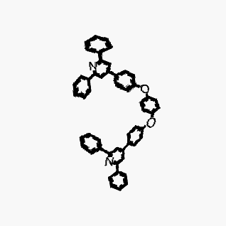 c1ccc(-c2cc(-c3ccc(Oc4ccc(Oc5ccc(-c6cc(-c7ccccc7)nc(-c7ccccc7)c6)cc5)cc4)cc3)cc(-c3ccccc3)n2)cc1